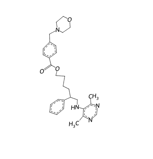 Cc1ncnc(C)c1NCC(CCCCOC(=O)c1ccc(CN2CCOCC2)cc1)c1ccccc1